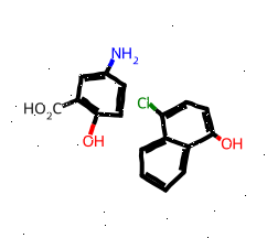 Nc1ccc(O)c(C(=O)O)c1.Oc1ccc(Cl)c2ccccc12